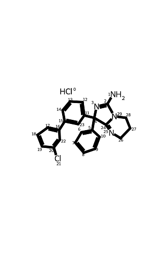 Cl.NC1=NC(c2ccccc2)(c2cccc(-c3cccc(Cl)c3)c2)C2=NCCCN12